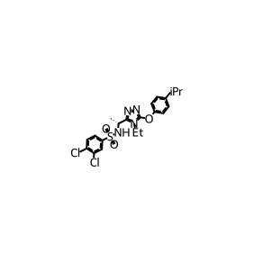 CCn1c(Oc2ccc(C(C)C)cc2)nnc1[C@@H](C)NS(=O)(=O)c1ccc(Cl)c(Cl)c1